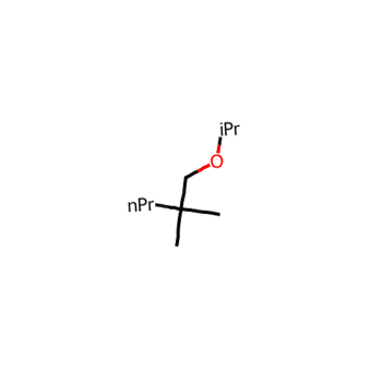 [CH2]CCC(C)(C)COC(C)C